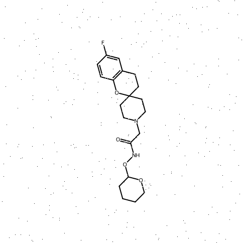 O=C(CN1CCC2(CCc3cc(F)ccc3O2)CC1)NOC1CCCCO1